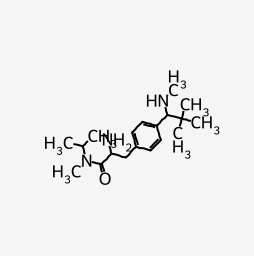 CNC(c1ccc(CC(N)C(=O)N(C)C(C)C)cc1)C(C)(C)C